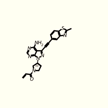 C=CC(=O)N1CC[C@H](n2nc(C#Cc3ccc4sc(C)nc4c3)c3c(N)ncnc32)C1